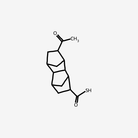 CC(=O)C1CC2CC1C1C3CC(CC3C(=O)S)C21